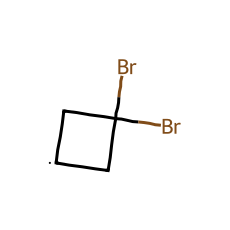 BrC1(Br)C[CH]C1